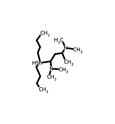 CCC[CH2][SnH]([CH2]CCC)[CH](CC(C)N(C)C)N(C)C